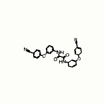 N#CC1=CCC(OC2=CC(NC(=O)C(=O)Nc3cccc(Oc4ccc(C#N)cc4)c3)CC=C2)C=C1